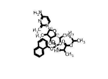 C=C1N=C(N)C=CN1[C@@H]1O[C@H](C(C)OP(=O)(NC(C)C(=O)OC(C)C)Oc2cccc3ccccc23)C(O)C1C